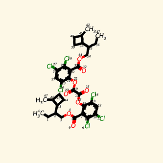 CCC(COC(=O)c1c(Cl)c(Cl)cc(Cl)c1OC(=O)C(=O)Oc1c(Cl)cc(Cl)c(Cl)c1C(=O)OCC(CC)C1CCC1C)C1CCC1C